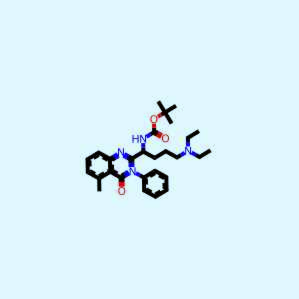 CCN(CC)CCCC(NC(=O)OC(C)(C)C)c1nc2cccc(C)c2c(=O)n1-c1ccccc1